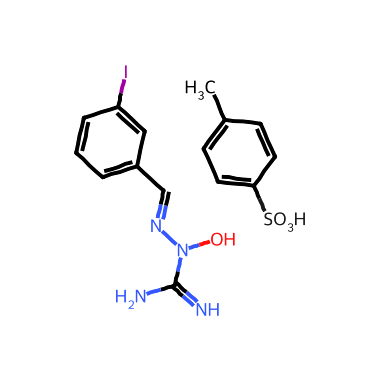 Cc1ccc(S(=O)(=O)O)cc1.N=C(N)N(O)N=Cc1cccc(I)c1